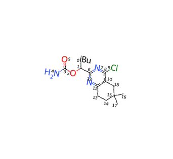 CCC(C)C(OC(N)=O)c1nc(Cl)c2c(n1)CCC(C)(C)C2